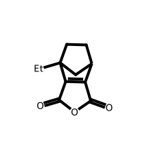 CCC12CCC(C1)C1=C2C(=O)OC1=O